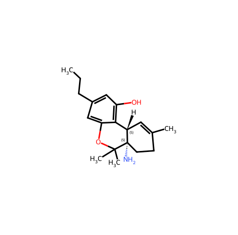 CCCc1cc(O)c2c(c1)OC(C)(C)[C@]1(N)CCC(C)=C[C@@H]21